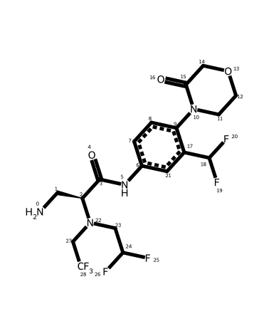 NC[C@@H](C(=O)Nc1ccc(N2CCOCC2=O)c(C(F)F)c1)N(CC(F)F)CC(F)(F)F